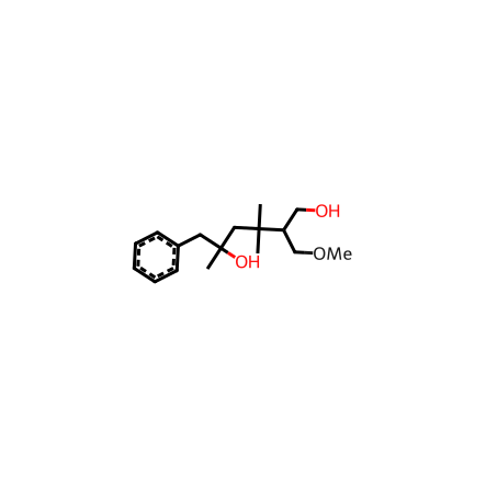 COCC(CO)C(C)(C)CC(C)(O)Cc1ccccc1